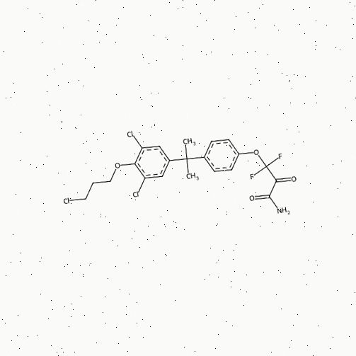 CC(C)(c1ccc(OC(F)(F)C(=O)C(N)=O)cc1)c1cc(Cl)c(OCCCCl)c(Cl)c1